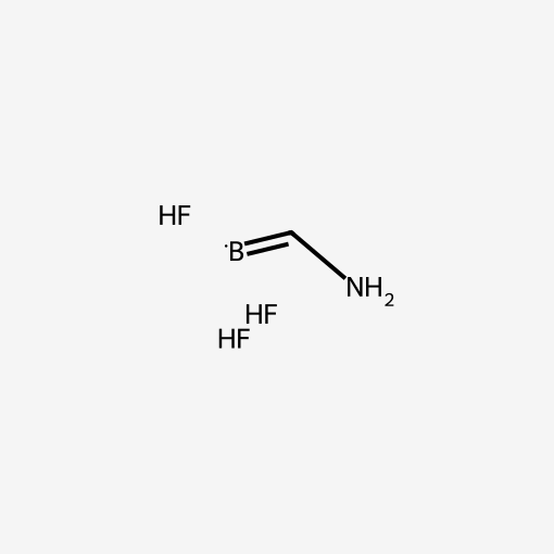 F.F.F.[B]=CN